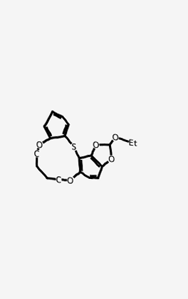 CCOC1Oc2ccc3c(c2O1)Sc1ccccc1OCCCCO3